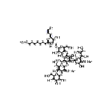 CC/C=C\C=C\[C@@H](O)[C@H](CO[C@@H]1OC(CO)[C@@H](O[C@@H]2OC(CO)[C@H](O[C@@H]3OC(CO)[C@H](O)C(O[C@@H]4OC(CO)[C@H](O)C(O)C4O)C3NC(C)=O)C(O[C@]3(C=O)CC(O)[C@@H](NC(C)=O)C([C@H](O)[C@H](O)CO)O3)C2O)C(O)C1O)NC(=O)CCCCCCCCCCCCCCCCC